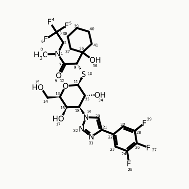 CN(CC(F)(F)F)C(=O)[C@@H](S[C@@H]1O[C@H](CO)[C@H](O)[C@H](n2cc(-c3cc(F)c(F)c(F)c3)nn2)[C@H]1O)C1(O)CCCCC1